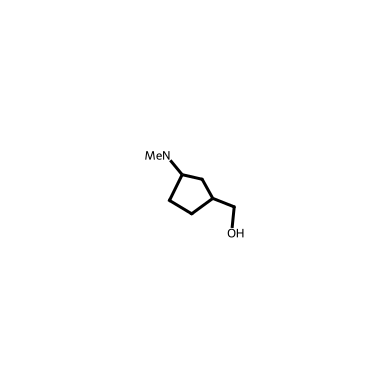 CNC1CCC(CO)C1